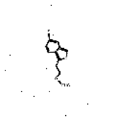 O=[C]OCCc1occ2cc(F)ccc12